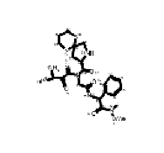 CCCC(N)C(=O)C(=O)N(CC(=O)NC(C(=O)N(C)OC)c1ccccc1)C(=O)C1CC2(CN1)SCCCS2